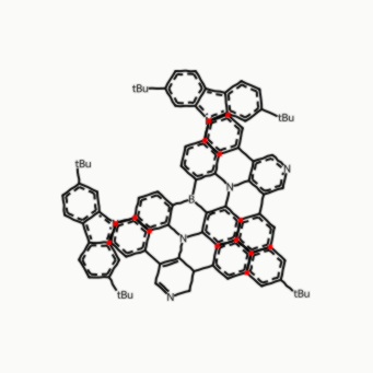 CC(C)(C)c1ccc(-c2cc3c4c(c2)N(c2c(-c5ccccc5)cncc2-c2ccccc2)c2cc(-n5c6cc(C(C)(C)C)ccc6c6ccc(C(C)(C)C)cc65)ccc2B4c2ccc(-n4c5cc(C(C)(C)C)ccc5c5ccc(C(C)(C)C)cc54)cc2N3C2=C(c3ccccc3)C=NCC2c2ccccc2)cc1